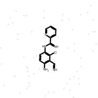 N=Cc1c(N)ccc(NC(=N)c2ccccn2)c1Cl